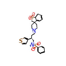 CN(C[C@H](CCN1CCC2(CC1)CS(=O)(=O)c1ccccc12)c1ccsc1)S(=O)(=O)c1ccccc1